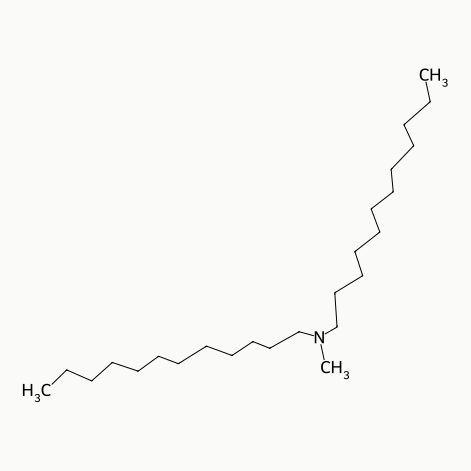 CCCCCCCCCCCCN(C)CCCCCCCCCCCC